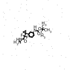 CC(C)(C)OC(=O)Nc1cccc(C2(C(F)(F)C(=O)NN)CC2)c1